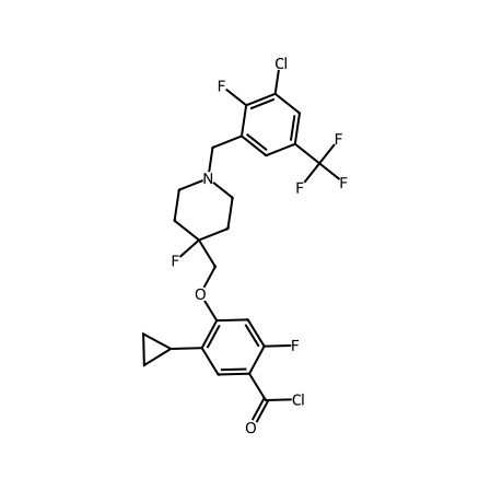 O=C(Cl)c1cc(C2CC2)c(OCC2(F)CCN(Cc3cc(C(F)(F)F)cc(Cl)c3F)CC2)cc1F